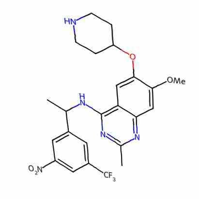 COc1cc2nc(C)nc(NC(C)c3cc([N+](=O)[O-])cc(C(F)(F)F)c3)c2cc1OC1CCNCC1